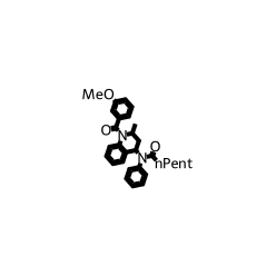 CCCCCC(=O)N(c1ccccc1)C1CC(C)N(C(=O)c2cccc(OC)c2)c2ccccc21